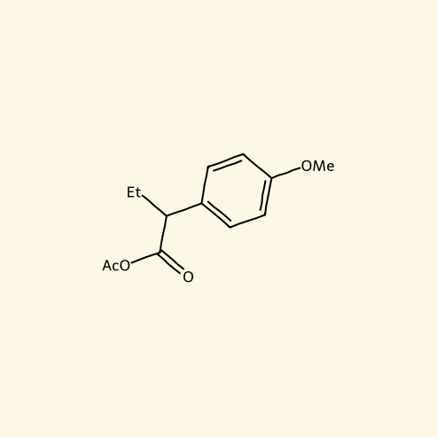 CCC(C(=O)OC(C)=O)c1ccc(OC)cc1